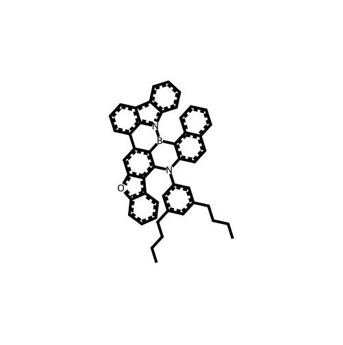 CCCCc1cc(CCCC)cc(N2c3ccc4ccccc4c3B3c4c(cc5oc6ccccc6c5c42)-c2cccc4c5ccccc5n3c24)c1